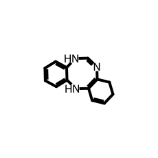 C1=Cc2[nH]c3ccccc3[nH]cnc2CC1